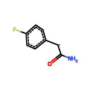 NC(=O)[CH]c1ccc(F)cc1